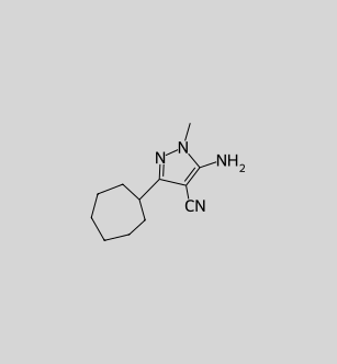 Cn1nc(C2CCCCCC2)c(C#N)c1N